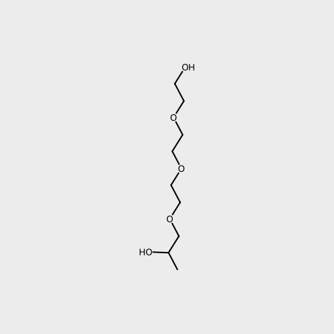 CC(O)COCCOCCOCCO